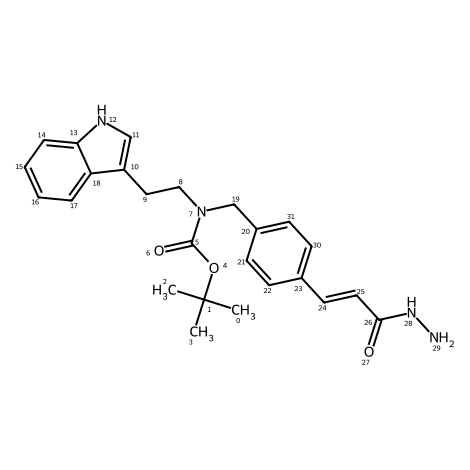 CC(C)(C)OC(=O)N(CCc1c[nH]c2ccccc12)Cc1ccc(/C=C/C(=O)NN)cc1